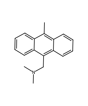 Cc1c2ccccc2c(CN(C)C)c2ccccc12